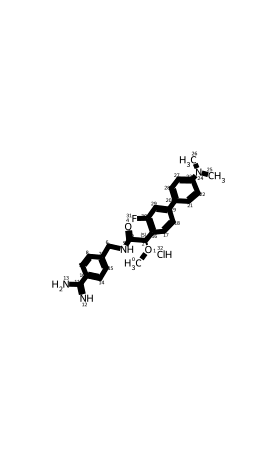 CO[C@H](C(=O)NCc1ccc(C(=N)N)cc1)c1ccc(-c2ccc(N(C)C)cc2)cc1F.Cl